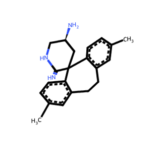 Cc1ccc2c(c1)CCc1cc(C)ccc1C21C[C@H](N)CNC1=N